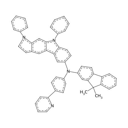 CC1(C)c2ccccc2-c2ccc(N(c3ccc(-c4ccccn4)cc3)c3ccc4c(c3)c3cc5ccn(-c6ccccc6)c5cc3n4-c3ccccc3)cc21